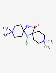 C[N+]1(C)CCC2(CC1)NC(=O)C1(CC[N+](C)(C)CC1)N2Cl